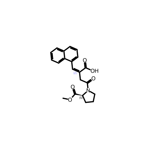 COC(=O)[C@@H]1CCCN1C(=O)C/C(=C/c1cccc2ccccc12)C(=O)O